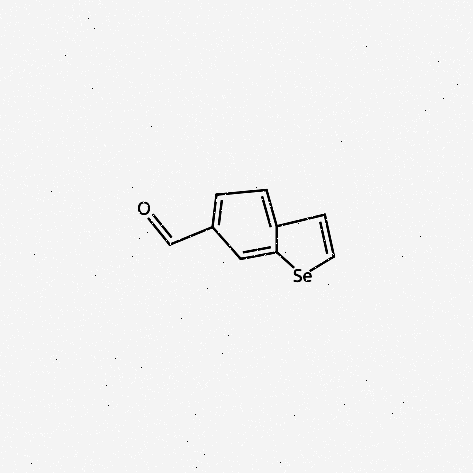 O=Cc1ccc2cc[se]c2c1